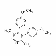 COc1ccc(-c2c(C)[c]nc(C)c2-c2ccc(OC)cc2)cc1